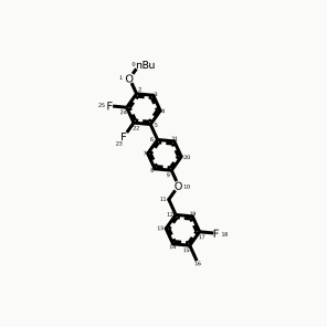 CCCCOc1ccc(-c2ccc(OCc3ccc(C)c(F)c3)cc2)c(F)c1F